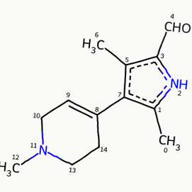 Cc1[nH]c(C=O)c(C)c1C1=CCN(C)CC1